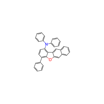 c1ccc(-c2ccc(N(c3ccccc3)c3ccccc3)c3c2oc2cc4ccccc4cc23)cc1